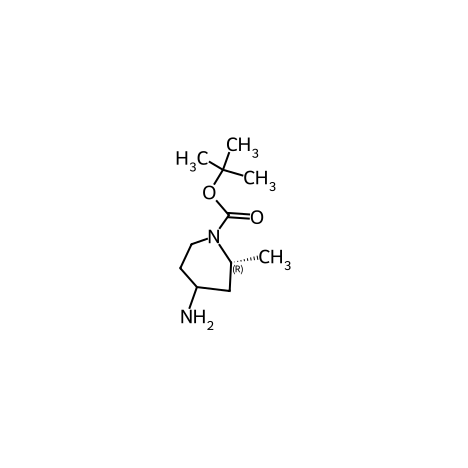 C[C@@H]1CC(N)CCN1C(=O)OC(C)(C)C